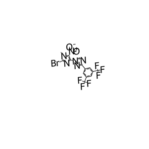 Cn1c(Br)nc(-n2cnc(-c3cc(C(F)(F)F)cc(C(F)(F)F)c3)n2)c1[N+](=O)[O-]